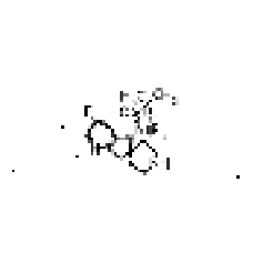 CC(C)(C)[S+]([O-])N[C@H]1c2cc(F)cnc2CC12CCNCC2